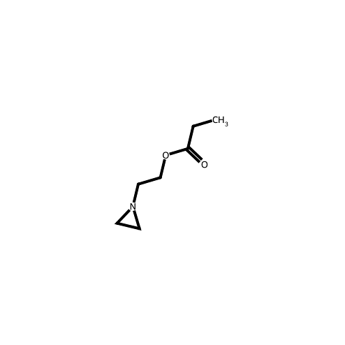 CCC(=O)OCCN1CC1